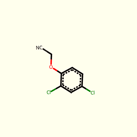 N#CCOc1ccc(Cl)[c]c1Cl